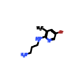 Cc1cc(Br)cnc1NCCCN